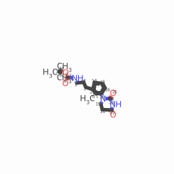 Cc1c(CCCNC(=O)OC(C)(C)C)cccc1N1CCC(=O)NC1=O